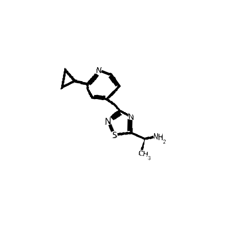 C[C@H](N)c1nc(-c2ccnc(C3CC3)c2)ns1